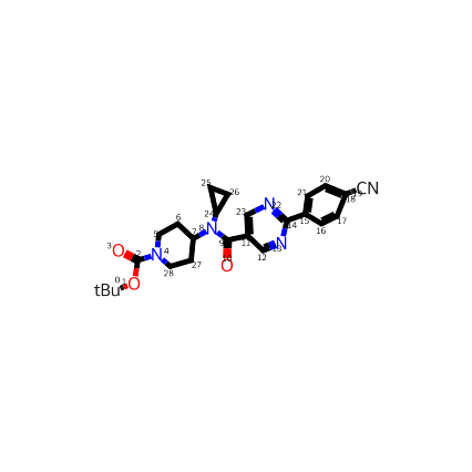 CC(C)(C)OC(=O)N1CCC(N(C(=O)c2cnc(-c3ccc(C#N)cc3)nc2)C2CC2)CC1